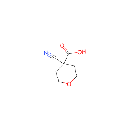 N#CC1(C(=O)O)CCOCC1